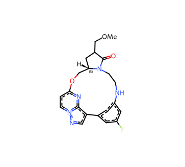 COCC1C[C@H]2COc3ccn4ncc(c4n3)-c3cc(F)cc(c3)NCCN2C1=O